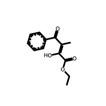 CCOC(=O)C(O)=C(C)C(=O)c1ccccc1